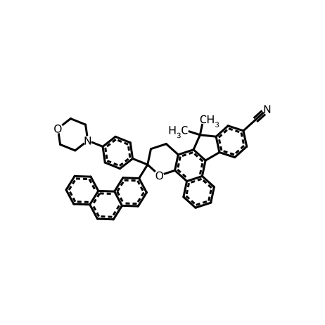 CC1(C)c2cc(C#N)ccc2-c2c1c1c(c3ccccc23)OC(c2ccc(N3CCOCC3)cc2)(c2ccc3ccc4ccccc4c3c2)CC1